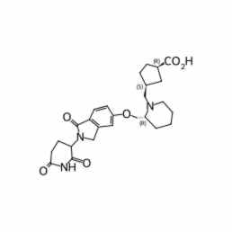 O=C1CCC(N2Cc3cc(OC[C@H]4CCCCN4C[C@H]4CC[C@@H](C(=O)O)C4)ccc3C2=O)C(=O)N1